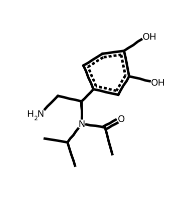 CC(=O)N(C(C)C)C(CN)c1ccc(O)c(O)c1